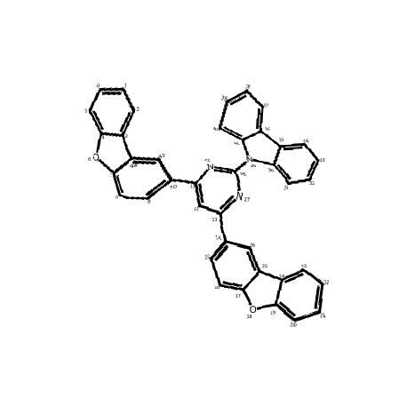 c1ccc2c(c1)oc1ccc(-c3cc(-c4ccc5oc6ccccc6c5c4)nc(-n4c5ccccc5c5ccccc54)n3)cc12